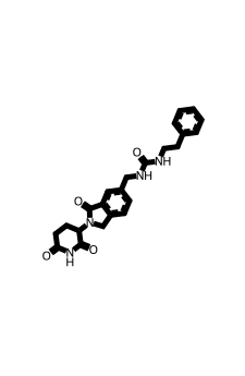 O=C1CCC(N2Cc3ccc(CNC(=O)NCCc4ccccc4)cc3C2=O)C(=O)N1